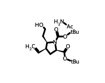 C=C[C@@H]1C[C@H](C(=O)OC(C)(C)C)N(C(=O)OC(C)(C)C)[C@@H]1CCO.CC(N)=O